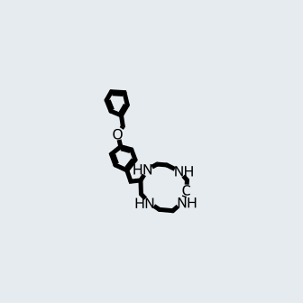 c1ccc(COc2ccc(CC3CNCCNCCNCCN3)cc2)cc1